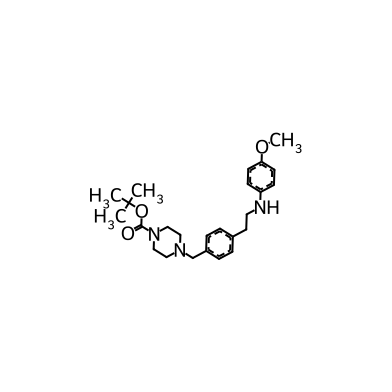 COc1ccc(NCCc2ccc(CN3CCN(C(=O)OC(C)(C)C)CC3)cc2)cc1